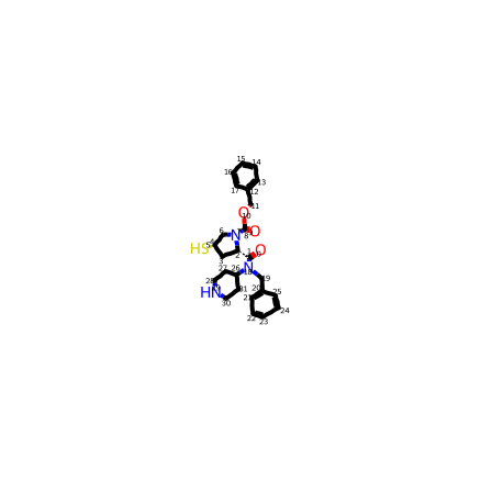 O=C([C@@H]1C[C@@H](S)CN1C(=O)OCc1ccccc1)N(Cc1ccccc1)C1CCNCC1